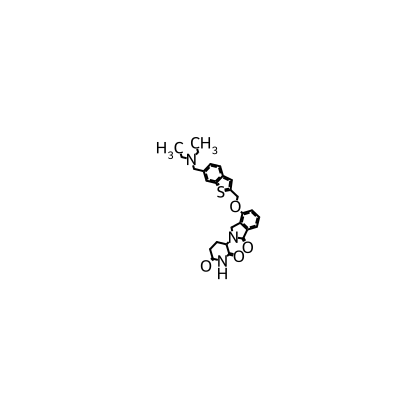 CCN(CC)Cc1ccc2cc(COc3cccc4c3CN(C3CCC(=O)NC3=O)C4=O)sc2c1